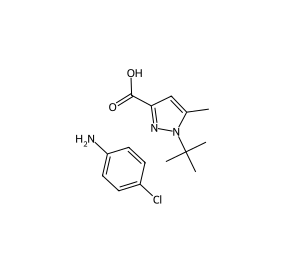 Cc1cc(C(=O)O)nn1C(C)(C)C.Nc1ccc(Cl)cc1